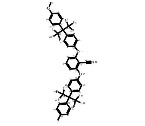 COc1ccc(C(c2ccc(Oc3cccc(Oc4ccc(C(c5ccc(C)cc5)(C(F)(F)F)C(F)(F)F)cc4)c3C#N)cc2)(C(F)(F)F)C(F)(F)F)cc1